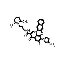 CC1CCCC(C)N1CCCNC(=O)c1cn2c3c(c(N4CCC(N)C4)c(F)cc3c1=O)Oc1cc3ccccc3cc1-2